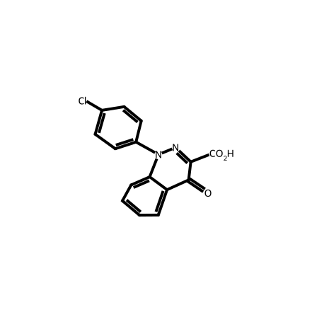 O=C(O)c1nn(-c2ccc(Cl)cc2)c2ccccc2c1=O